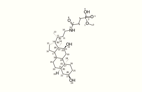 COP(=O)(O)CCC(=O)NCC[C@@H](C)[C@H]1CCC2C3CC[C@@H]4C[C@H](O)CC[C@]4(C)C3C[C@H](O)[C@@]21C